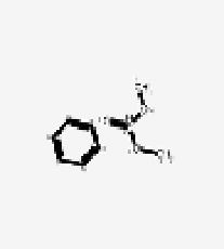 CO[PH](=O)OC.c1ccccc1